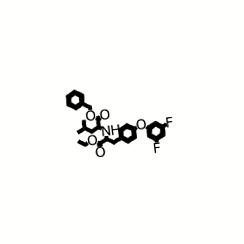 CCOC(=O)C(Cc1ccc(Oc2cc(F)cc(F)c2)cc1)NC(CC(C)C)C(=O)OCc1ccccc1